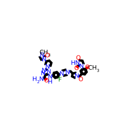 COc1ccc(C(=O)N2CCC(CN3CCN(c4ccc(Nc5nc(N6CCC[C@@H](N7CCN(C)C7=O)C6)nnc5C(N)=O)cc4F)CC3)C2)cc1N1CCC(=O)NC1=O